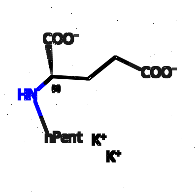 CCCCCN[C@@H](CCC(=O)[O-])C(=O)[O-].[K+].[K+]